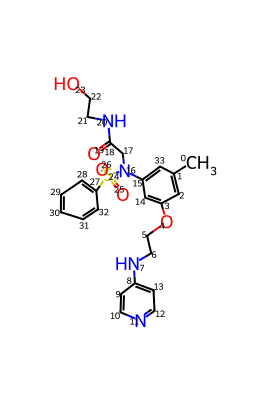 Cc1cc(OCCNc2ccncc2)cc(N(CC(=O)NCCO)S(=O)(=O)c2ccccc2)c1